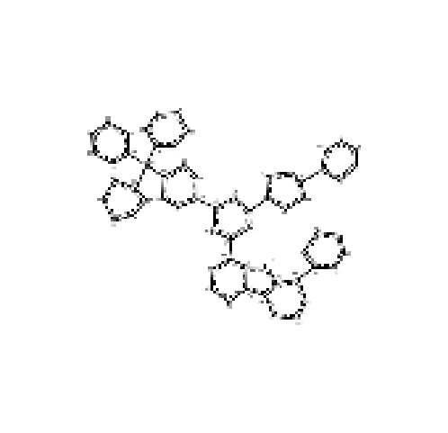 c1ccc(-c2ccc(-c3nc(-c4ccc([Si](c5ccccc5)(c5ccccc5)c5ccccc5)cc4)nc(-c4cccc5c4oc4c(-c6ccccc6)cccc45)n3)cc2)cc1